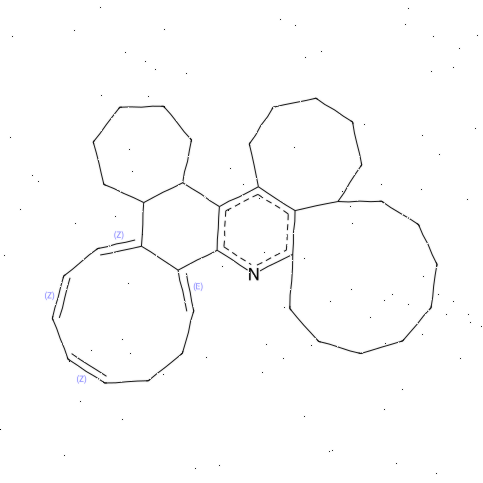 C1=C\C=C2/C(=C\CC\C=C/1)c1nc3c4c(c1C1CCCCCC21)CCCCCC4CCCCCCCC3